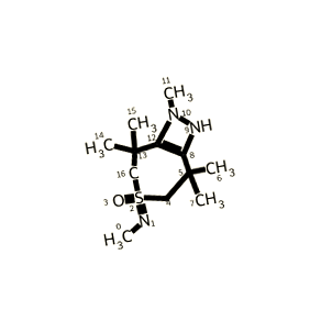 CN=S1(=O)CC(C)(C)c2[nH]n(C)c2C(C)(C)C1